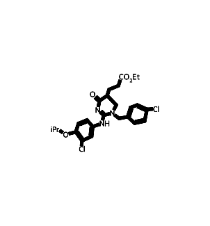 CCOC(=O)CCC1CN(Cc2ccc(Cl)cc2)C(Nc2ccc(OC(C)C)c(Cl)c2)=NC1=O